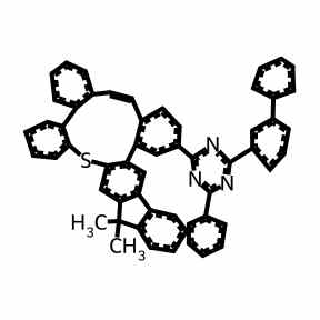 CC1(C)c2ccccc2-c2cc3c(cc21)Sc1ccccc1-c1ccccc1/C=C\c1ccc(-c2nc(-c4ccccc4)nc(-c4cccc(-c5ccccc5)c4)n2)cc1-3